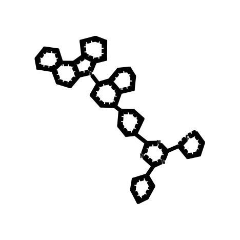 c1ccc(-c2nc(-c3ccccc3)nc(-c3ccc(-c4ccc(-n5c6ccccc6c6c7ccccc7ccc65)c5ccccc45)cc3)n2)cc1